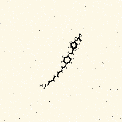 CCCCCCCCCC[C@H]1CC[C@H](CCc2ccc(OC(F)F)cc2)CC1